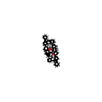 c1ccc(N(c2cc3c(s2)C2(c4ccccc4Oc4ccccc42)c2cc(N(c4ccccc4)c4cccc5c4sc4ccccc45)sc2C32c3ccccc3Oc3ccccc32)c2cccc3c2sc2ccccc23)cc1